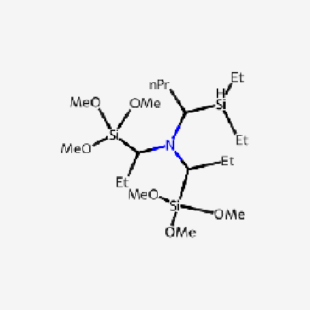 CCCC(N(C(CC)[Si](OC)(OC)OC)C(CC)[Si](OC)(OC)OC)[SiH](CC)CC